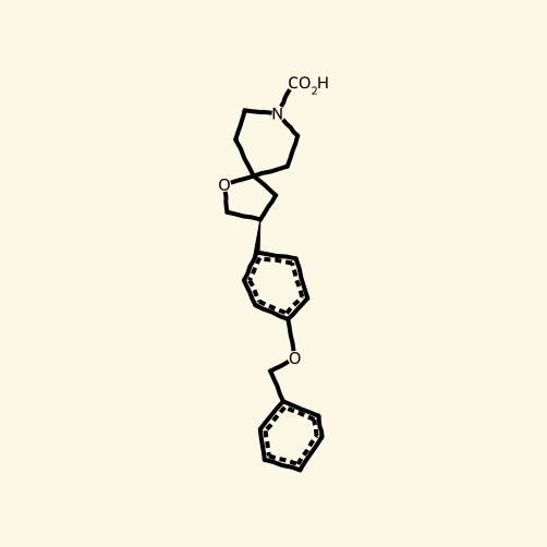 O=C(O)N1CCC2(CC1)C[C@@H](c1ccc(OCc3ccccc3)cc1)CO2